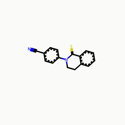 N#Cc1ccc(N2CCc3ccccc3C2=S)cc1